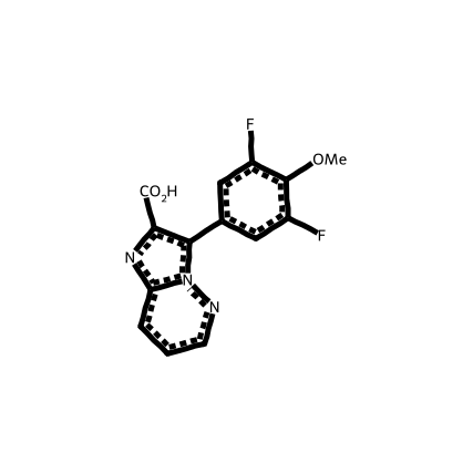 COc1c(F)cc(-c2c(C(=O)O)nc3cccnn23)cc1F